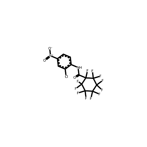 O=C(Nc1ccc([N+](=O)[O-])cc1Cl)C1(F)C(F)(F)C(F)(F)C(F)(F)C(F)(F)C1(F)F